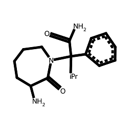 CC(C)C(C(N)=O)(c1ccccc1)N1CCCCC(N)C1=O